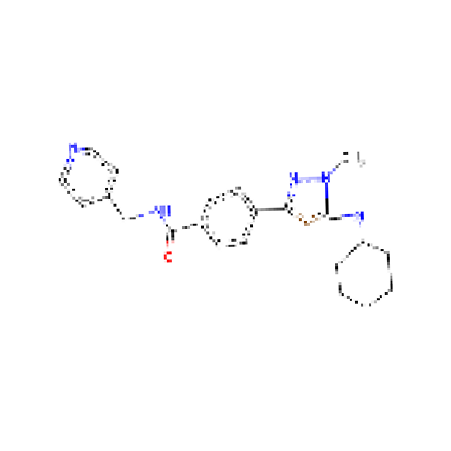 Cn1nc(-c2ccc(C(=O)NCc3ccncc3)cc2)sc1=NC1CCCCC1